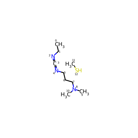 CCN=C=NCCCN(C)C.CS